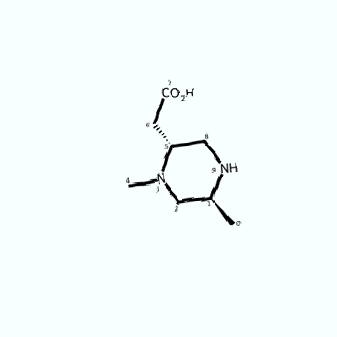 C[C@H]1CN(C)[C@H](CC(=O)O)CN1